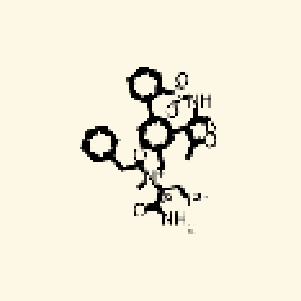 Cc1onc(NS(=O)(=O)c2ccccc2-c2ccc(C[N+](C)(C(=O)Cc3ccccc3)[C@@H](CC(C)C)C(N)=O)cc2)c1C